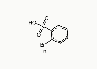 O=S(=O)(O)c1ccccc1Br.[In]